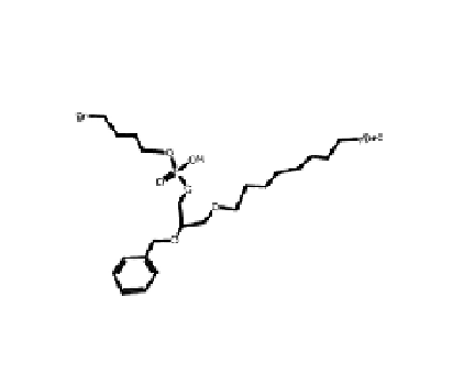 CCCCCCCCCCCCCCCCCCOCC(COP(=O)(O)OCCCCBr)OCc1ccccc1